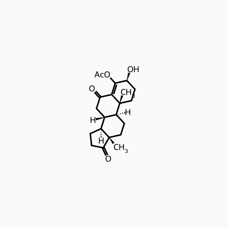 CC(=O)OC1=C2C(=O)C[C@@H]3[C@H](CC[C@]4(C)C(=O)CC[C@@H]34)[C@@]2(C)CC[C@@H]1O